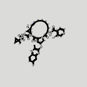 Cc1nc2ccc(F)cc2nc1O[C@@H]1C[C@H]2C(=O)N[C@]3(C(=O)NS(=O)(=O)C4(C)CC4)C[C@H]3/C=C\CCCCC[C@H](NC(=O)c3ccncc3F)C(=O)N2C1